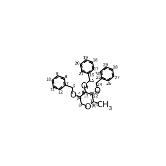 C[C@H]1O[CH][C@@H](OCc2ccccc2)[C@@H](OCc2ccccc2)[C@@H]1OCc1ccccc1